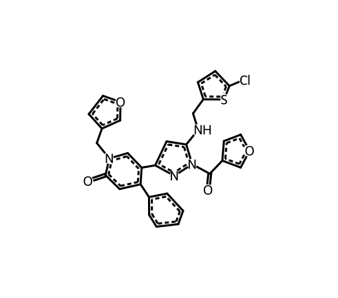 O=C(c1ccoc1)n1nc(-c2cn(Cc3ccoc3)c(=O)cc2-c2ccccc2)cc1NCc1ccc(Cl)s1